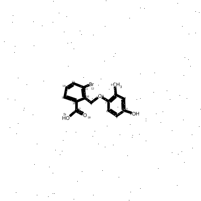 Cc1cc(O)ccc1OCc1c(Br)cccc1C(=O)O